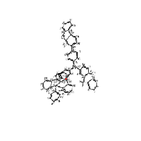 CC1(C)c2ccccc2Sc2ccc(N(c3ccc(-c4ccc5c(c4)oc4ccccc45)cc3)c3cc#cc(-c4ccccc4C4(c5ccccc5)C5=C(C=CCC5)c5ccccc54)c3)cc21